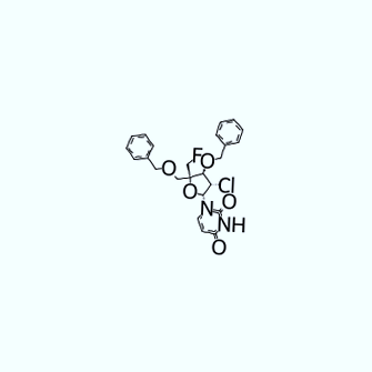 O=c1ccn([C@@H]2O[C@](CF)(COCc3ccccc3)[C@@H](OCc3ccccc3)[C@@H]2Cl)c(=O)[nH]1